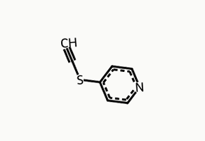 C#CSc1ccncc1